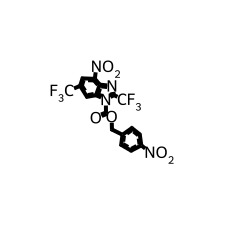 O=C(OCc1ccc([N+](=O)[O-])cc1)n1c(C(F)(F)F)nc2c([N+](=O)[O-])cc(C(F)(F)F)cc21